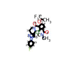 CC(Oc1ccc(C(=O)N(C)C)c(Cl)c1C(=O)N1CCc2nn(-c3ccc(F)cc3)cc2C1)C(F)(F)F